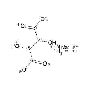 N.O=C([O-])C(O)C(O)C(=O)[O-].[K+].[Na+]